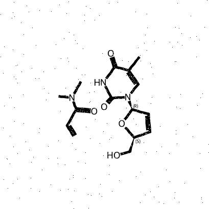 C=CC(=O)N(C)C.Cc1cn([C@H]2C=C[C@@H](CO)O2)c(=O)[nH]c1=O